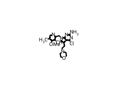 COc1c(C)cnc(Cn2cc(CCN3CCOCC3)c3c(Cl)nc(N)nc32)c1C